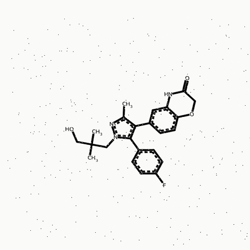 Cc1nn(CC(C)(C)CO)c(-c2ccc(F)cc2)c1-c1ccc2c(c1)NC(=O)CO2